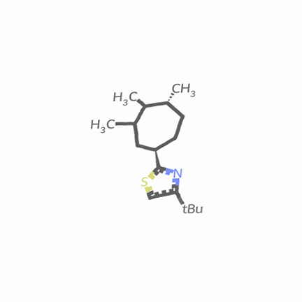 CC1C[C@H](c2nc(C(C)(C)C)cs2)CC[C@@H](C)C1C